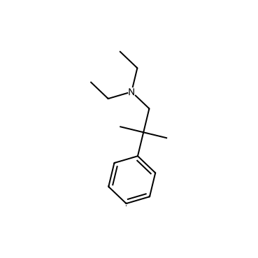 CCN(CC)CC(C)(C)c1cc[c]cc1